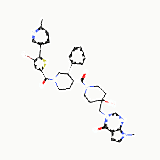 Cc1ccc(-c2sc(C(=O)N3CC[C@@H](C(=O)N4CCC(O)(Cn5cnc6c(ccn6C)c5=O)CC4)[C@H](c4ccccc4)C3)cc2Br)cn1